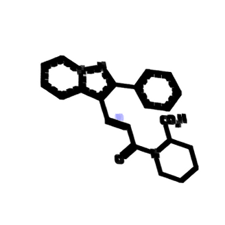 O=C(O)C1CCCCN1C(=O)/C=C/c1c(-c2ccccc2)nn2ccccc12